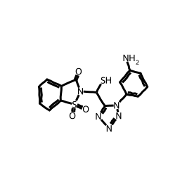 Nc1cccc(-n2nnnc2C(S)N2C(=O)c3ccccc3S2(=O)=O)c1